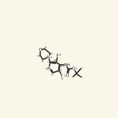 CC(C)(C)OC(=O)Nc1c(F)cnc(N2CCOCC2)c1F